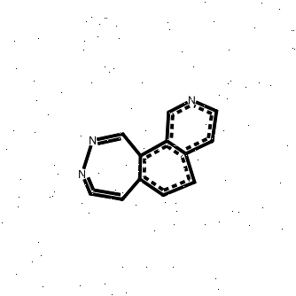 C1=Cc2ccc3ccncc3c2C=NN=1